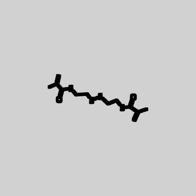 C=C(C)C(=O)SCCSSCCSC(=O)C(=C)C